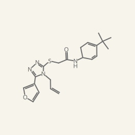 C=CCn1c(SCC(=O)NC2C=CC(C(C)(C)C)=CC2)nnc1-c1ccoc1